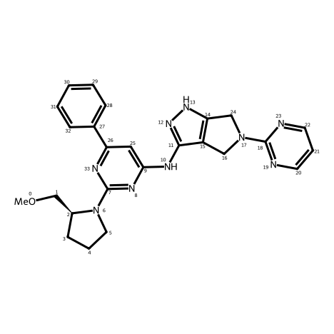 COC[C@@H]1CCCN1c1nc(Nc2n[nH]c3c2CN(c2ncccn2)C3)cc(-c2ccccc2)n1